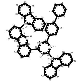 c1ccc(-c2ccc(-c3nc(-c4cccc5c4oc4c(-n6c7ccccc7c7ccccc76)cccc45)nc(-n4c5ccccc5c5ccccc54)n3)cc2)cc1